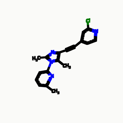 Cc1cccc(-n2c(C)nc(C#Cc3ccnc(Cl)c3)c2C)n1